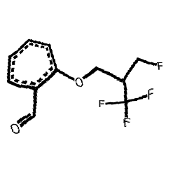 O=Cc1ccccc1OCC(CF)C(F)(F)F